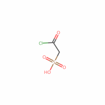 O=C(Cl)CS(=O)(=O)O